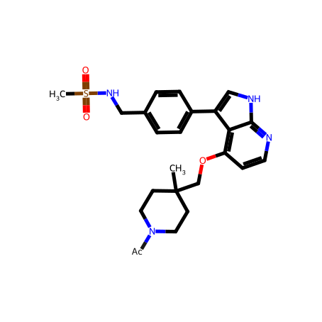 CC(=O)N1CCC(C)(COc2ccnc3[nH]cc(-c4ccc(CNS(C)(=O)=O)cc4)c23)CC1